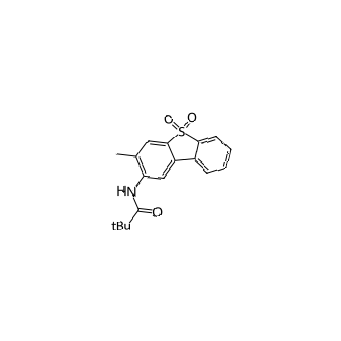 Cc1cc2c(cc1NC(=O)C(C)(C)C)-c1ccccc1S2(=O)=O